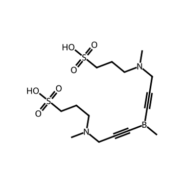 CB(C#CCN(C)CCCS(=O)(=O)O)C#CCN(C)CCCS(=O)(=O)O